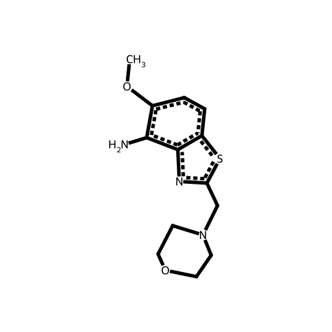 COc1ccc2sc(CN3CCOCC3)nc2c1N